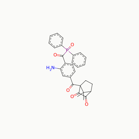 CC1(C)C2CCC1(C(=O)c1ccc(C(=O)P(=O)(c3ccccc3)c3ccccc3)c(N)c1)C(=O)C2=O